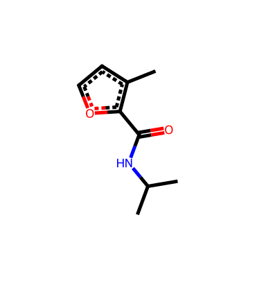 Cc1ccoc1C(=O)NC(C)C